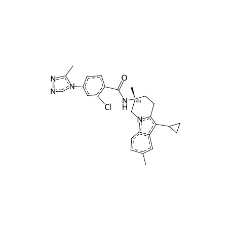 Cc1ccc2c(c1)c(C1CC1)c1n2C[C@](C)(NC(=O)c2ccc(-n3cnnc3C)cc2Cl)CC1